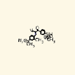 Cc1cc(N(C)C)ccc1/C=C(\C#N)C(=O)c1ccc(NS(C)(=O)=O)cc1